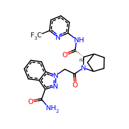 NC(=O)c1nn(CC(=O)N2C3CCC(C3)[C@H]2C(=O)Nc2cccc(C(F)(F)F)n2)c2ccccc12